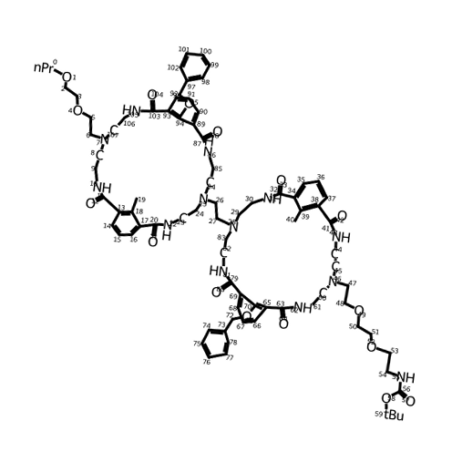 CCCOCCOCCN1CCNC(=O)c2cccc(c2C)C(=O)NCCN(CCN2CCNC(=O)c3cccc(c3C)C(=O)NCCN(CCOCCOCCNC(=O)OC(C)(C)C)CCNC(=O)c3cccc(c3OCc3ccccc3)C(=O)NCC2)CCNC(=O)c2cccc(c2OCc2ccccc2)C(=O)NCC1